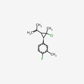 C=C(C)C1[C@H](c2ccc(F)c(C)c2)C1(C)Cl